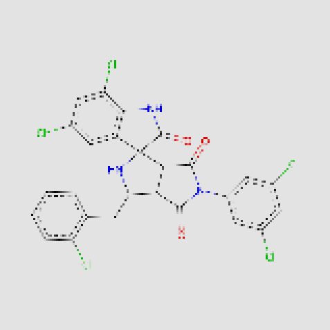 O=C1C2C(Cc3ccccc3Cl)NC3(C(=O)Nc4c(Cl)cc(Cl)cc43)C2C(=O)N1c1cc(Cl)cc(Cl)c1